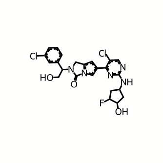 O=C1N(C(CO)c2cccc(Cl)c2)Cc2cc(-c3nc(NC4CC(O)C(F)C4)ncc3Cl)cn21